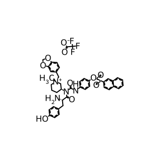 C[N+]1(Cc2ccc3c(c2)OCO3)CCC[C@H](N(C(=O)Nc2ccc(OS(=O)(=O)c3ccc4ccccc4c3)cc2)C(=O)[C@@H](N)Cc2ccc(O)cc2)C1.O=C([O-])C(F)(F)F